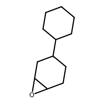 C1CCC([C]2CCC3OC3C2)CC1